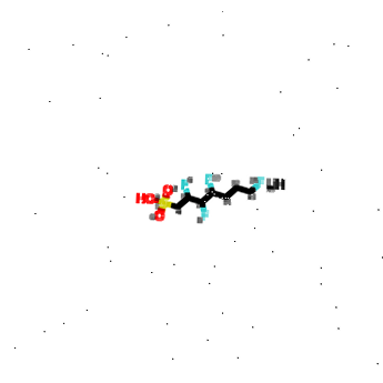 O=S(=O)(O)CC(F)C(F)C(F)CCCF.[LiH]